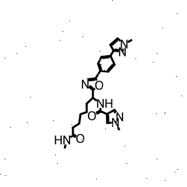 CNC(=O)CCCCCC(NC(=O)c1cnn(C)c1)c1ncc(-c2ccc(-c3ccn(C)n3)cc2)o1